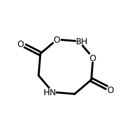 O=C1CNCC(=O)OBO1